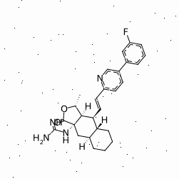 C[C@H]1OC(=O)[C@]2(NC(=N)N)C[C@@H]3CCCC[C@H]3[C@H](/C=C/c3ccc(-c4cccc(F)c4)cn3)[C@H]12